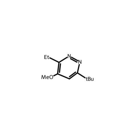 CCc1nnc(C(C)(C)C)cc1OC